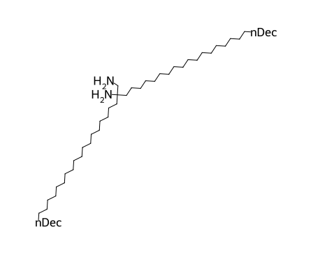 CCCCCCCCCCCCCCCCCCCCCCCCCCCCC(N)(CN)CCCCCCCCCCCCCCCCCCCCCCCCCCCC